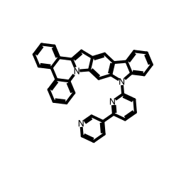 c1cncc(-c2cccc(-n3c4ccccc4c4cc5cc6c7ccccc7c7ccccc7n6c5cc43)n2)c1